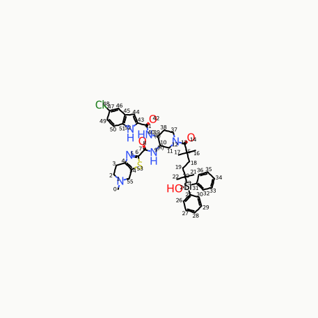 CN1CCc2nc(C(=O)N[C@@H]3CN(C(=O)C(C)(C)CCC(C)(C)[Si](O)(c4ccccc4)c4ccccc4)CC[C@@H]3NC(=O)c3cc4cc(Cl)ccc4[nH]3)sc2C1